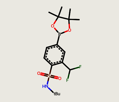 CC(C)(C)NS(=O)(=O)c1ccc(B2OC(C)(C)C(C)(C)O2)cc1C(F)F